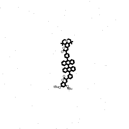 CC(C)(C)Oc1cc(OC(C)(C)C)c2cc(-c3cccc(-c4c5ccccc5c(-c5c6ccccc6c(-c6ccc(-c7cc8cc9c%10c(c8oc7=O)C(C)(C)CCN%10CCC9(C)C)cc6)c6ccccc56)c5ccccc45)c3)c(=O)oc2c1